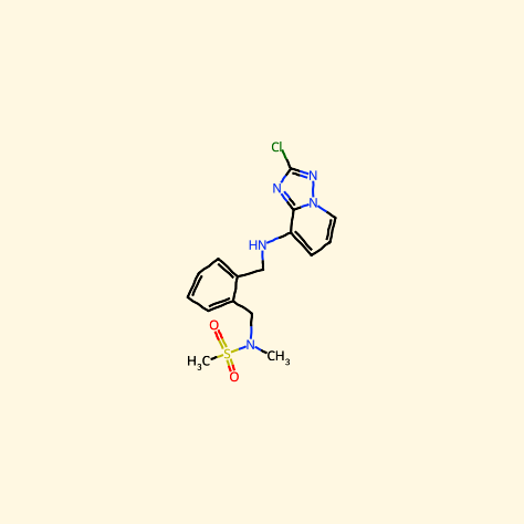 CN(Cc1ccccc1CNc1cccn2nc(Cl)nc12)S(C)(=O)=O